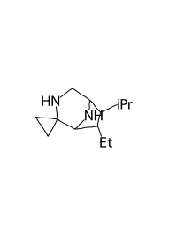 CCC1C(C(C)C)C2CNC3(CC3)C1N2